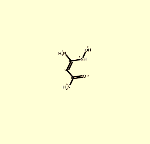 NC(=O)/C=C(/N)NO